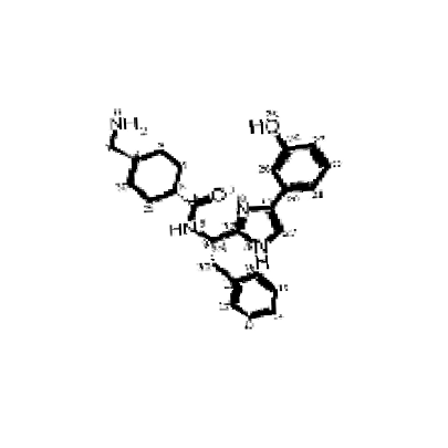 NC[C@H]1CC[C@H](C(=O)N[C@@H](Cc2ccccc2)c2nc(-c3cccc(O)c3)c[nH]2)CC1